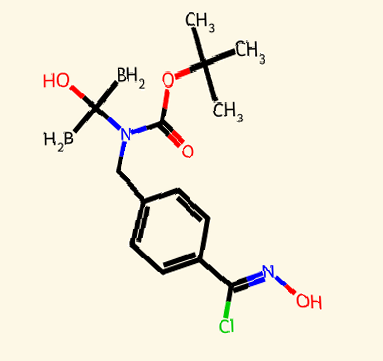 BC(B)(O)N(Cc1ccc(/C(Cl)=N/O)cc1)C(=O)OC(C)(C)C